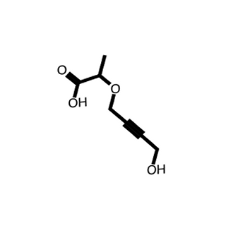 CC(OCC#CCO)C(=O)O